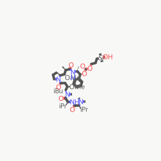 CC[C@H](C)[C@@H]([C@@H](CC(=O)N1CCC[C@H]1[C@@H](OC)[C@@H](C)C(=O)N[C@H](C)[C@@H](OC(=O)OCCC[Si](C)(C)O)c1ccccc1)OC)N(C)C(=O)[C@@H](NC(=O)[C@H](C(C)C)N(C)C)C(C)C